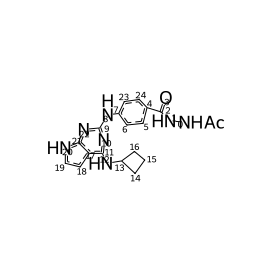 CC(=O)NNC(=O)c1ccc(Nc2nc(NC3CCC3)c3cc[nH]c3n2)cc1